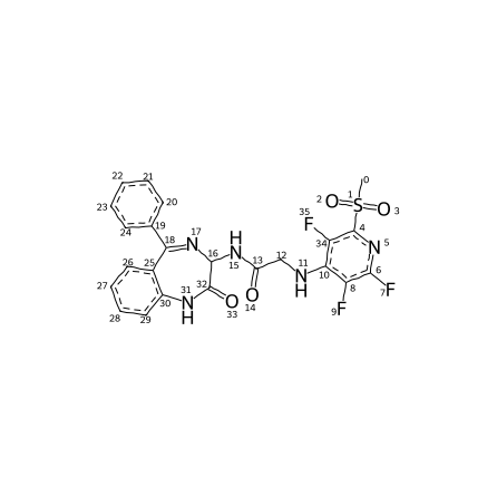 CS(=O)(=O)c1nc(F)c(F)c(NCC(=O)NC2N=C(c3ccccc3)c3ccccc3NC2=O)c1F